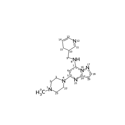 CN1CCN(c2cc(NCC3C=NC=CC3)n3nccc3n2)CC1